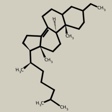 CCC1CC[C@@]2(C)C(CCC3=C4CC[C@H]([C@H](C)CCCC(C)C)[C@@]4(C)CC[C@@H]32)C1